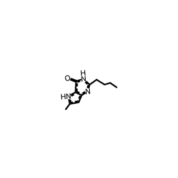 CCCCc1nc2cc(C)[nH]c2c(=O)[nH]1